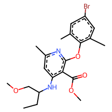 CCC(COC)Nc1cc(C)nc(Oc2c(C)cc(Br)cc2C)c1C(=O)OC